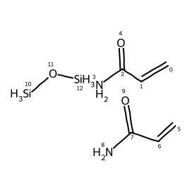 C=CC(N)=O.C=CC(N)=O.[SiH3]O[SiH3]